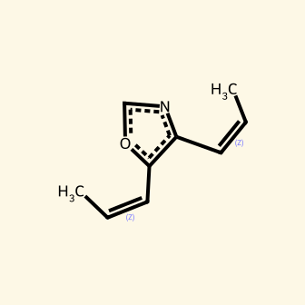 C/C=C\c1ncoc1/C=C\C